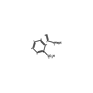 C=CCCCCCCC.O=S(=O)(O)c1ccccc1